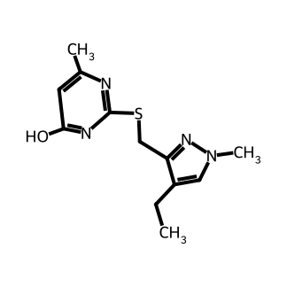 CCc1cn(C)nc1CSc1nc(C)cc(O)n1